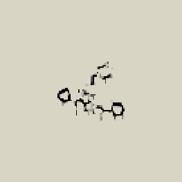 Cl[C@@H](Cn1ncc2c(Nc3ccccc3)nc(SCCN3CCOCC3)nc21)c1ccccc1